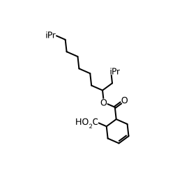 CC(C)CCCCCCC(CC(C)C)OC(=O)C1CC=CCC1C(=O)O